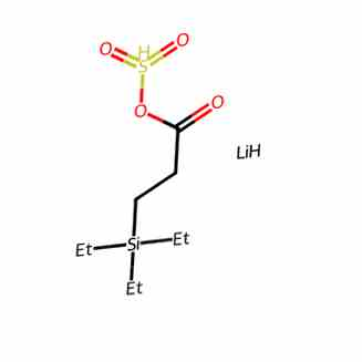 CC[Si](CC)(CC)CCC(=O)O[SH](=O)=O.[LiH]